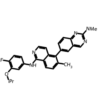 CNc1ncc2cc(-c3c(C)ccc4c(Nc5ccc(F)c(OC(C)C)c5)nccc34)ccc2n1